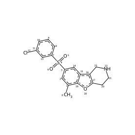 Cc1cc(S(=O)(=O)c2cccc(Cl)c2)cc2c3c(oc12)CCNC3